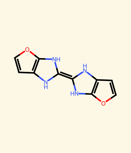 c1cc2c(o1)N/C(=C1\Nc3ccoc3N1)N2